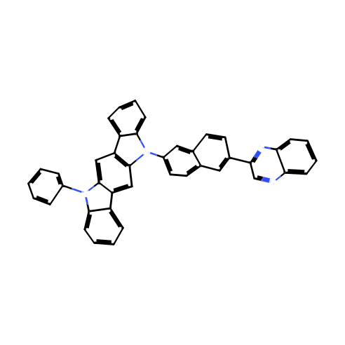 c1ccc(-n2c3ccccc3c3cc4c(cc32)c2ccccc2n4-c2ccc3cc(-c4cnc5ccccc5n4)ccc3c2)cc1